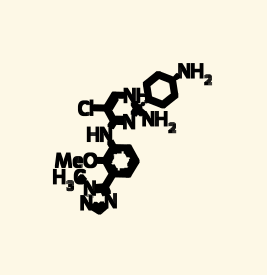 COc1c(NC2=NC(N)([C@H]3CC[C@H](N)CC3)NC=C2Cl)cccc1-c1ncnn1C